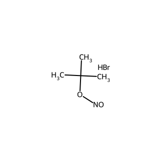 Br.CC(C)(C)ON=O